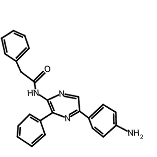 Nc1ccc(-c2cnc(NC(=O)Cc3ccccc3)c(-c3ccccc3)n2)cc1